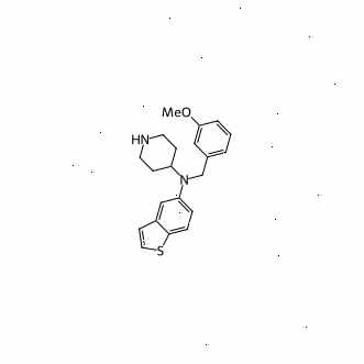 COc1cccc(CN(c2ccc3sccc3c2)C2CCNCC2)c1